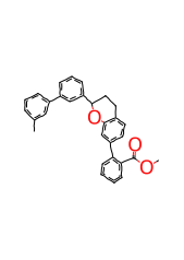 COC(=O)c1ccccc1-c1ccc2c(c1)OC(c1cccc(-c3cccc(C)c3)c1)CC2